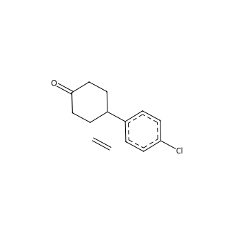 C=C.O=C1CCC(c2ccc(Cl)cc2)CC1